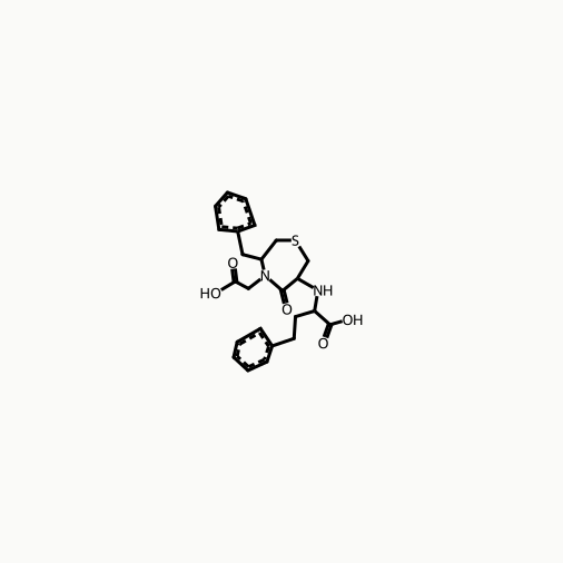 O=C(O)CN1C(=O)C(NC(CCc2ccccc2)C(=O)O)CSCC1Cc1ccccc1